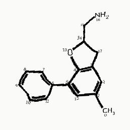 Cc1cc2c(c(-c3ccccc3)c1)OC(CN)C2